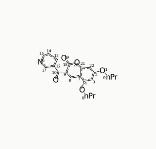 CCCOc1cc(OCCC)c2cc(C(=O)c3cccnc3)c(=O)oc2c1